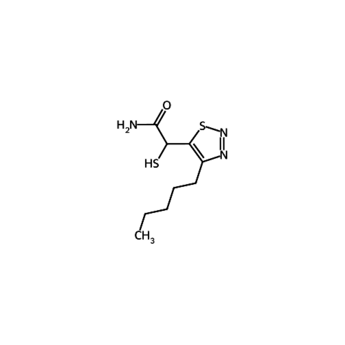 CCCCCc1nnsc1C(S)C(N)=O